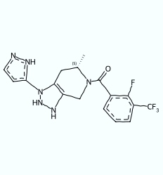 C[C@H]1CC2=C(CN1C(=O)c1cccc(C(F)(F)F)c1F)NNN2c1ccn[nH]1